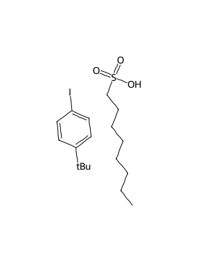 CC(C)(C)c1ccc(I)cc1.CCCCCCCCS(=O)(=O)O